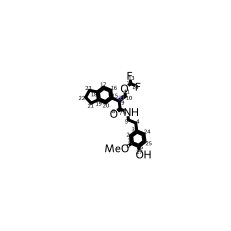 COc1cc(CCNC(=O)/C(=C/OC(F)F)c2ccc3c(c2)CCC3)ccc1O